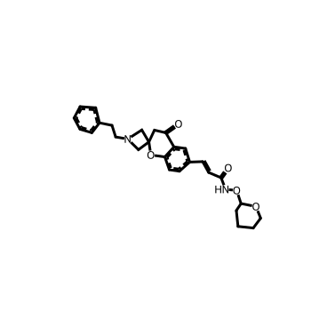 O=C(C=Cc1ccc2c(c1)C(=O)CC1(CN(CCc3ccccc3)C1)O2)NOC1CCCCO1